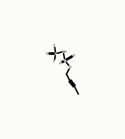 CC#CCOS(=O)(=O)NP(=O)(F)F